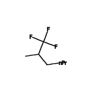 CCCCC(C)C(F)(F)F